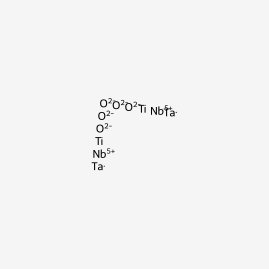 [Nb+5].[Nb+5].[O-2].[O-2].[O-2].[O-2].[O-2].[Ta].[Ta].[Ti].[Ti]